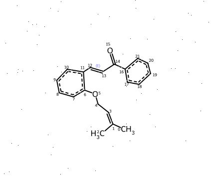 CC(C)=CCOc1ccccc1/C=C/C(=O)c1ccccc1